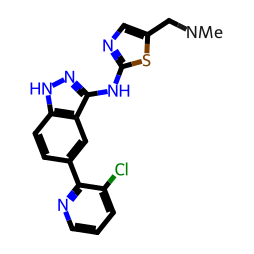 CNCc1cnc(Nc2n[nH]c3ccc(-c4ncccc4Cl)cc23)s1